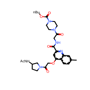 CCCCOC(=O)N1CCN(C(=O)CNC(=O)c2cc(OCC(=O)N3CCC(NC(C)=O)C3)c3ccc(C)cc3n2)CC1